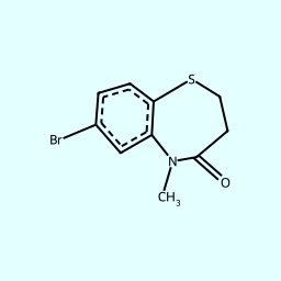 CN1C(=O)CCSc2ccc(Br)cc21